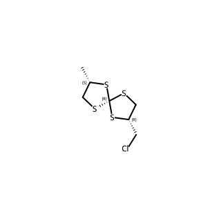 C[C@H]1CS[C@@]2(SC[C@H](CCl)S2)S1